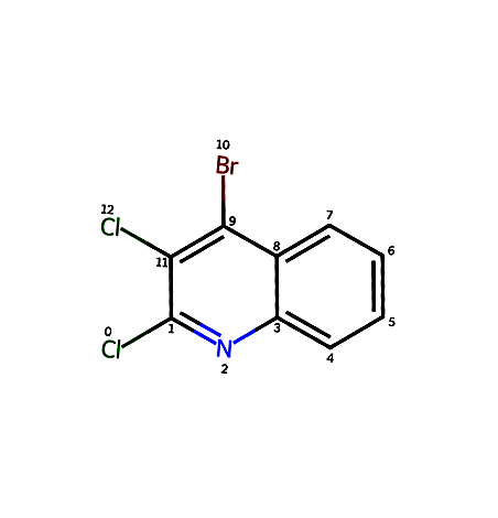 Clc1nc2ccccc2c(Br)c1Cl